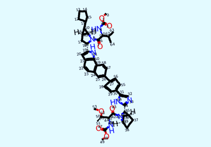 COC(=O)N[C@H](C(=O)N1[C@@H]2C(C3CCCC3)[C@@H]2C[C@H]1c1cc2ccc3cc(-c4ccc(-c5cnc([C@@H]6[C@H]7CC[C@H](C7)N6C(=O)[C@@H](NC(=O)OC)[C@@H](C)OC)[nH]5)cc4)ccc3c2[nH]1)C(C)C